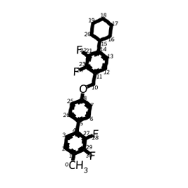 Cc1ccc(-c2ccc(OCc3ccc(C4CCCCC4)c(F)c3F)cc2)c(F)c1F